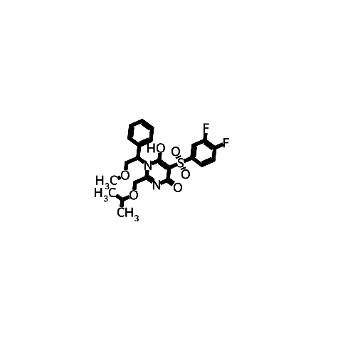 COCC(c1ccccc1)n1c(COC(C)C)nc(=O)c(S(=O)(=O)c2ccc(F)c(F)c2)c1O